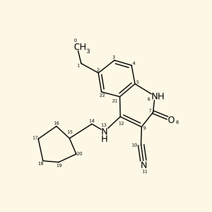 CCc1ccc2[nH]c(=O)c(C#N)c(NCC3CCCCC3)c2c1